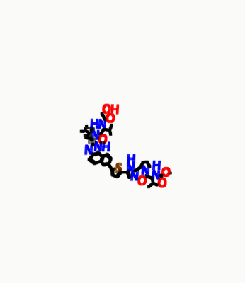 COC(=O)NC(C(=O)N1CCCC1c1ncc(-c2ccc(-c3ccc4c(ccc5nc([C@@H]6C[Si](C)(C)CN6C(=O)C(NC(=O)CO)C(C)C)[nH]c54)c3)s2)[nH]1)C(C)C